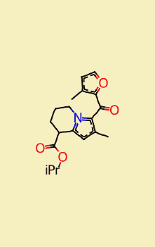 Cc1ccoc1C(=O)c1c(C)cc2n1CCCC2C(=O)OC(C)C